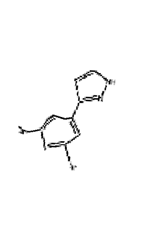 Brc1cc(Br)cc(-c2cc[nH]n2)c1